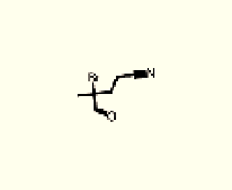 CC(Br)(C=O)CCC#N